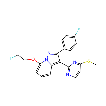 CSc1ccnc(-c2c(-c3ccc(F)cc3)nn3c(OCCF)cccc23)n1